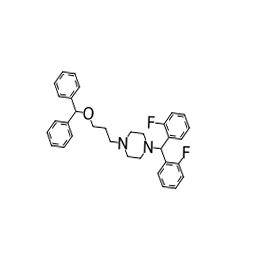 Fc1ccccc1C(c1ccccc1F)N1CCN(CCCOC(c2ccccc2)c2ccccc2)CC1